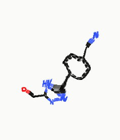 N#Cc1ccc(-c2nnc(C=O)[nH]2)cc1